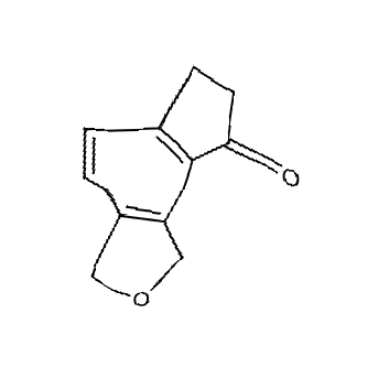 O=C1CCc2ccc3c(c21)COC3